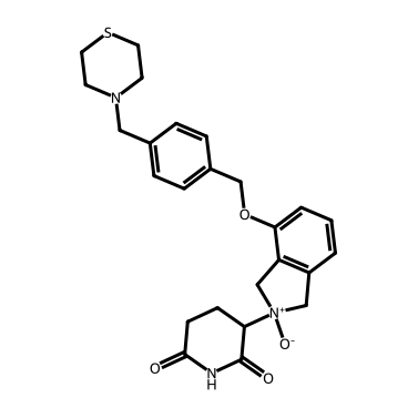 O=C1CCC([N+]2([O-])Cc3cccc(OCc4ccc(CN5CCSCC5)cc4)c3C2)C(=O)N1